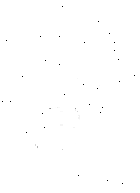 COC(=O)[C@H](Oc1nc(C)cc(C)n1)[C@@]1(c2ccccc2)NCC(=O)N(CCc2ccccc2)c2ccccc21